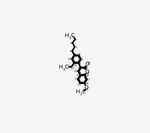 CCCCCc1ccc(-c2cc3ccc(OC)cc3oc2=O)c(CC)c1